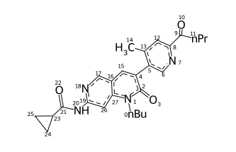 CCCCn1c(=O)c(-c2cnc(C(=O)CCC)cc2C)cc2cnc(NC(=O)C3CC3)cc21